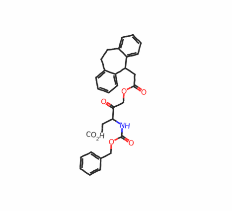 O=C(O)CC(NC(=O)OCc1ccccc1)C(=O)COC(=O)CC1c2ccccc2CCc2ccccc21